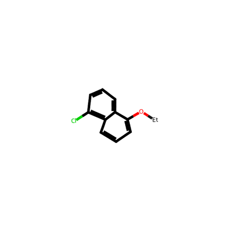 CCOc1cccc2c(Cl)c[c]cc12